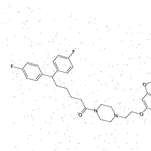 O=C(CCCCC(c1ccc(F)cc1)c1ccc(F)cc1)N1CCN(CCOc2ccc3c(c2)OCO3)CC1